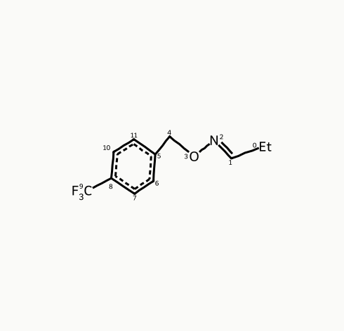 CCC=NOCc1ccc(C(F)(F)F)cc1